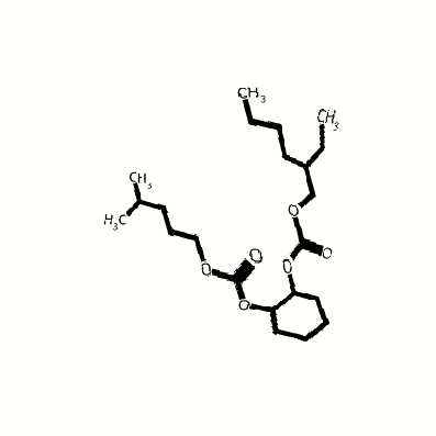 CCCCC(CC)COC(=O)OC1CCCCC1OC(=O)OCCCC(C)C